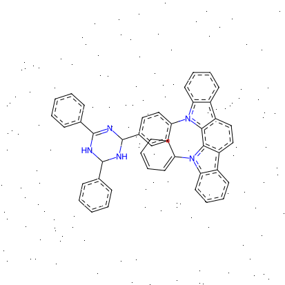 C1=CCCC(n2c3ccccc3c3ccc4c5ccccc5n(-c5ccc(C6N=C(c7ccccc7)NC(c7ccccc7)N6)cc5)c4c32)=C1